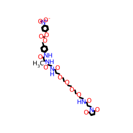 CC(NC(=O)CNC(=O)CCOCCOCCOCCOCCNC(=O)CCN1C(=O)C=CC1=O)C(=O)Nc1ccc(COC(=O)Oc2ccc([N+](=O)[O-])cc2)cc1